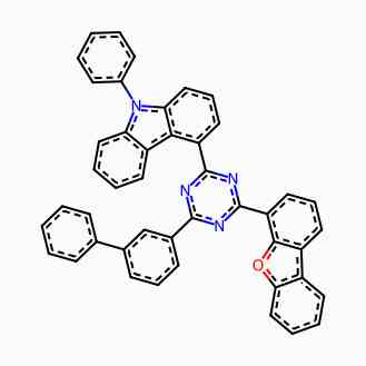 c1ccc(-c2cccc(-c3nc(-c4cccc5c4oc4ccccc45)nc(-c4cccc5c4c4ccccc4n5-c4ccccc4)n3)c2)cc1